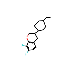 CCC1CCC(C2COc3c(ccc(F)c3F)C2)CC1